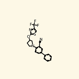 N#Cc1cc(-c2ccccc2)ccc1N1CCC(Oc2nc(C(F)(F)F)cs2)C1